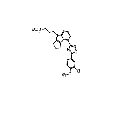 CCOC(=O)CCCn1c2c(c3c(-c4noc(-c5ccc(OC(C)C)c(Cl)c5)n4)cccc31)CCC2